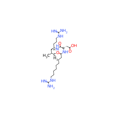 CC(C)C[C@@H](CCCNC(=N)N)NC(=O)[C@H](CC(=O)O)NC(=O)CCCCCCCCNC(=N)N